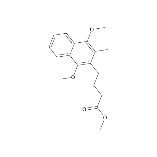 COC(=O)CCCc1c(C)c(OC)c2ccccc2c1OC